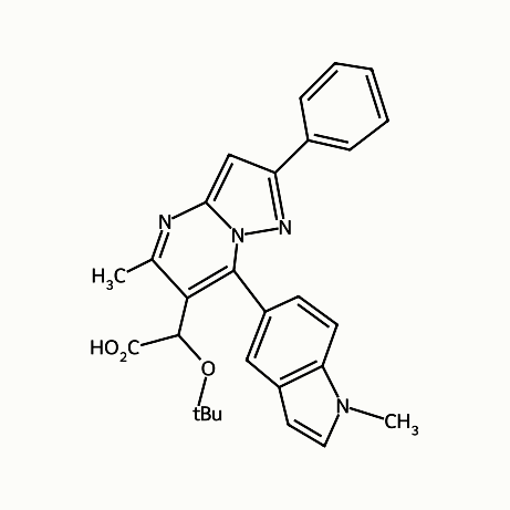 Cc1nc2cc(-c3ccccc3)nn2c(-c2ccc3c(ccn3C)c2)c1C(OC(C)(C)C)C(=O)O